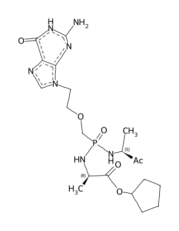 CC(=O)[C@H](C)NP(=O)(COCCn1cnc2c(=O)[nH]c(N)nc21)N[C@H](C)C(=O)OC1CCCC1